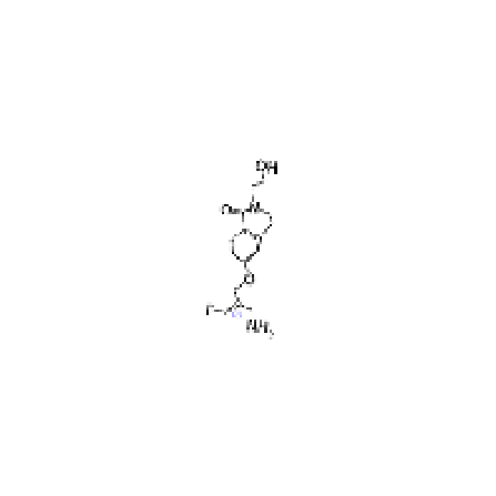 NC/C(=C/F)COc1ccc2c(c1)CCN(CCO)C2=O